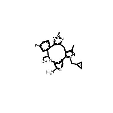 Cc1nn(CC2CC2)c2c1Cc1nn(C)nc1-c1ccc(F)cc1C(CO)Oc1cc-2cnc1N